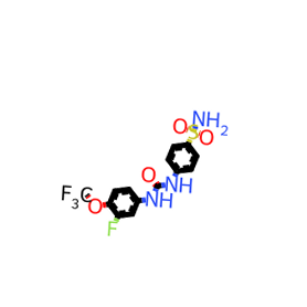 NS(=O)(=O)c1ccc(NC(=O)Nc2ccc(OC(F)(F)F)c(F)c2)cc1